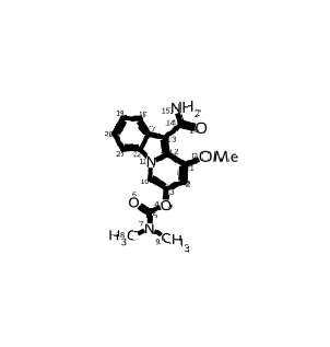 COc1cc(OC(=O)N(C)C)cn2c1c(C(N)=O)c1ccccc12